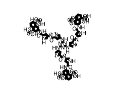 CN(C(=O)c1cc(Nc2nc(Nc3cc(C(=O)N(C)c4c[nH]c(C(=O)Nc5cc(P(=O)(O)O)c6cccc(P(=O)(O)O)c6c5)c4)n(C)c3)nc(Nc3cc(C(=O)N(C)c4c[nH]c(C(=O)Nc5cc(P(=O)(O)O)c6cccc(P(=O)(O)O)c6c5)c4)n(C)c3)n2)cn1C)c1c[nH]c(C(=O)Nc2cc(P(=O)(O)O)c3cccc(P(=O)(O)O)c3c2)c1